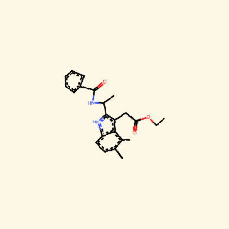 CCOC(=O)Cc1c(C(C)NC(=O)c2ccccc2)[nH]c2ccc(C)c(C)c12